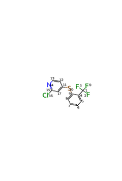 FC(F)(F)c1ccccc1Sc1ccnc(Cl)c1